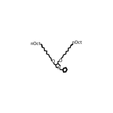 CCCCCCCCC=CCCCCCCCCOCC1CN(Cc2ccccc2)CC1COCCCCCCCCC=CCCCCCCCC